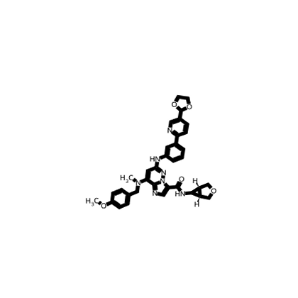 COc1ccc(CN(C)c2cc(Nc3cccc(-c4ccc(C5OCCO5)cn4)c3)nn3c(C(=O)NC4[C@H]5COC[C@@H]45)cnc23)cc1